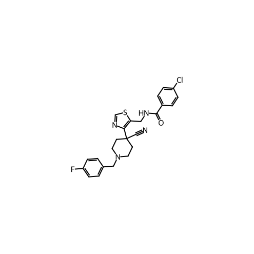 N#CC1(c2ncsc2CNC(=O)c2ccc(Cl)cc2)CCN(Cc2ccc(F)cc2)CC1